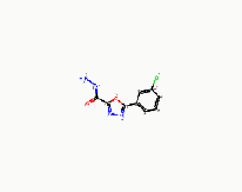 NNC(=O)c1nnc(-c2cccc(Cl)c2)o1